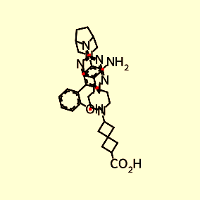 Nc1nnc(-c2ccccc2O)cc1N1CC2CCC(C1)N2c1ncc(N2CCN(C3CC4(CC(C(=O)O)C4)C3)CC2)cn1